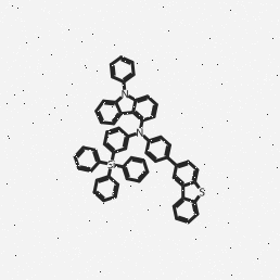 c1ccc(-n2c3ccccc3c3c(N(c4ccc(-c5ccc6sc7ccccc7c6c5)cc4)c4cccc([Si](c5ccccc5)(c5ccccc5)c5ccccc5)c4)cccc32)cc1